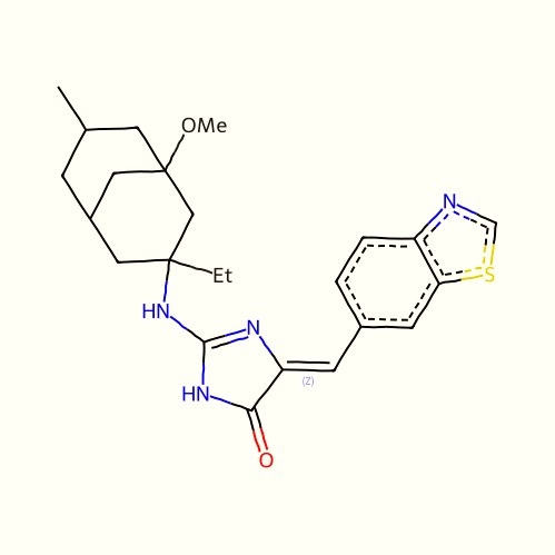 CCC1(NC2=N/C(=C\c3ccc4ncsc4c3)C(=O)N2)CC2CC(C)CC(OC)(C2)C1